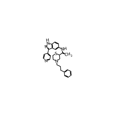 C=C(Nc1ccc2[nH]nc(-c3ccncc3)c2c1)C1CN(CCCc2ccccc2)CCS1